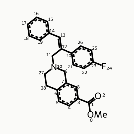 COC(=O)c1ccc2c(c1)CN(C/C(=C\c1ccccc1)c1ccc(F)cc1)CC2